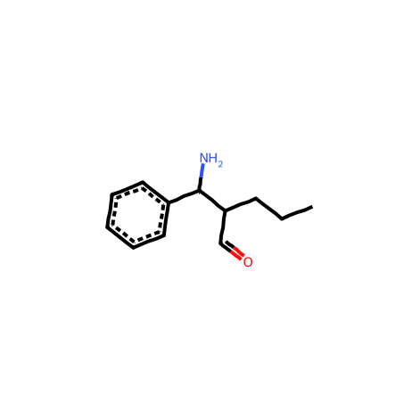 CCCC(C=O)[C](N)c1ccccc1